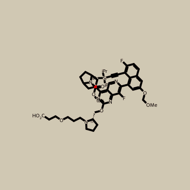 COCOc1cc(-c2ncc3c(N4CC5CCC(C4)N5C(=O)OC(C)(C)C)nc(OC[C@@H]4CCCN4CCCOCCC(=O)O)nc3c2F)c2c(C#C[Si](C(C)C)(C(C)C)C(C)C)c(F)ccc2c1